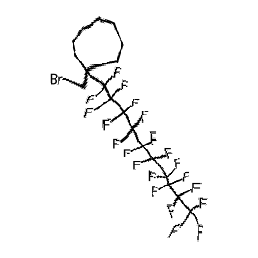 FC(F)(F)C(F)(F)C(F)(F)C(F)(F)C(F)(F)C(F)(F)C(F)(F)C(F)(F)C(F)(F)C(F)(F)C1(CBr)CCCCCCC1